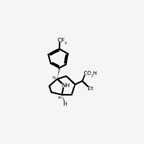 CCC(C(=O)O)C1C[C@H]2CC[C@@](c3ccc(C(F)(F)F)cc3)(C1)N2